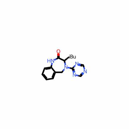 CCC(C)C1C(=O)Nc2ccccc2CN1c1ncncn1